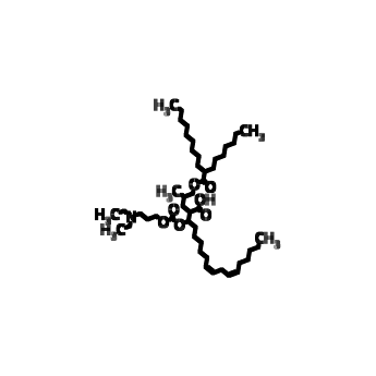 CCCCC/C=C\C/C=C\CCCCCC(OC(=O)OCCCN(CC)CC)C(CC(C)COC(=O)C(CCCCCCC)CCCCCCCCC)C(=O)O